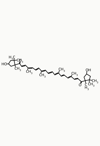 CC(/C=C/C=C(C)/C=C/C(=O)C1(C)CC(O)CC1(C)C)=C\C=C\C=C(C)\C=C\C=C(C)\C=C\C(=O)C1(C)CC(O)CC1(C)C